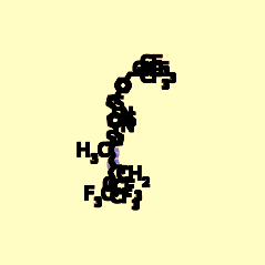 C=C/C(=C\C=C(/C)c1ccc(-c2ccc(-c3ccc(-c4ccc(CCOC(C(F)(F)F)(C(F)(F)F)C(F)(F)F)cc4)s3)c3nsnc23)s1)CCOC(C(F)(F)F)(C(F)(F)F)C(F)(F)F